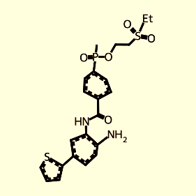 CCS(=O)(=O)CCOP(C)(=O)c1ccc(C(=O)Nc2cc(-c3cccs3)ccc2N)cc1